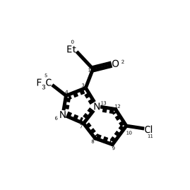 CCC(=O)c1c(C(F)(F)F)nc2ccc(Cl)cn12